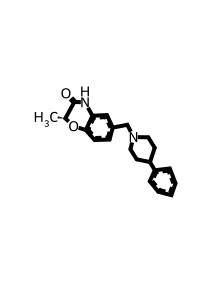 C[C@H]1Oc2ccc(CN3CCC(c4ccccc4)CC3)cc2NC1=O